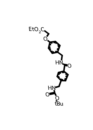 CCOC(=O)COc1ccc(CNC(=O)c2ccc(CNC(=O)OC(C)(C)C)cc2)cc1